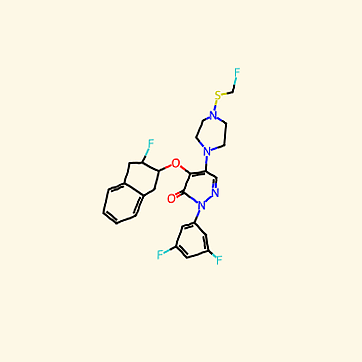 O=c1c(OC2Cc3ccccc3CC2F)c(N2CCN(SCF)CC2)cnn1-c1cc(F)cc(F)c1